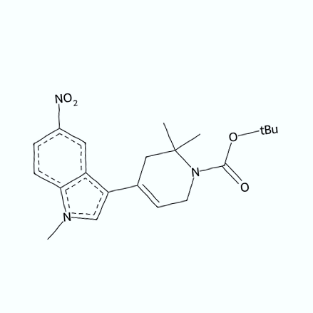 Cn1cc(C2=CCN(C(=O)OC(C)(C)C)C(C)(C)C2)c2cc([N+](=O)[O-])ccc21